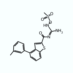 Cc1cccc(-c2cccc3sc(C(=O)N=C(N)NOS(C)(=O)=O)cc23)c1